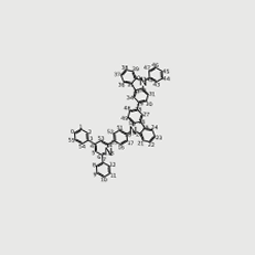 c1ccc(-c2cc(-c3ccccc3)nc(-c3ccc(-n4c5ccccc5c5cc(-c6ccc7c(c6)c6ccccc6n7-c6ccccc6)ccc54)cc3)c2)cc1